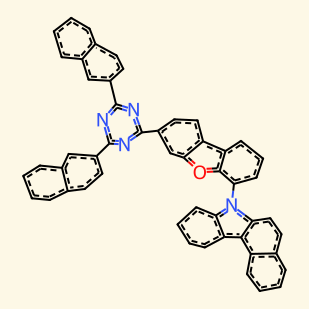 c1ccc2cc(-c3nc(-c4ccc5ccccc5c4)nc(-c4ccc5c(c4)oc4c(-n6c7ccccc7c7c8ccccc8ccc76)cccc45)n3)ccc2c1